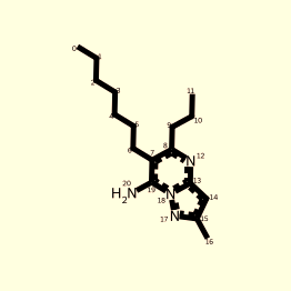 CCCCCCCc1c(CCC)nc2cc(C)nn2c1N